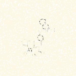 COC(=O)C(Cc1ccc(Oc2nc(Cl)cc3ccccc23)cc1)Nc1c(N2C(C)CCC2C)c(=O)c1=O